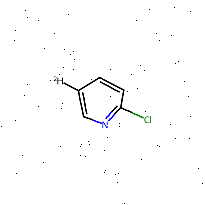 [2H]c1ccc(Cl)nc1